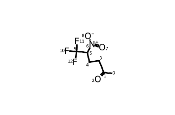 CC(=O)CCC([N+](=O)[O-])C(F)(F)F